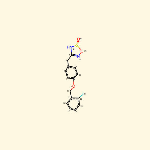 O=S1NC(Cc2ccc(OCc3ccccc3F)cc2)=NO1